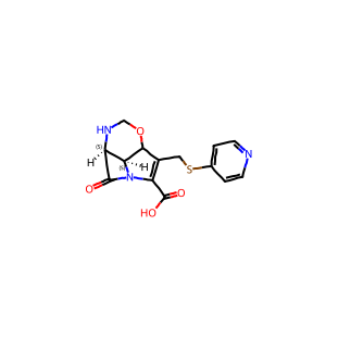 O=C(O)C1=C(CSc2ccncc2)C2OCN[C@@H]3C(=O)N1[C@H]23